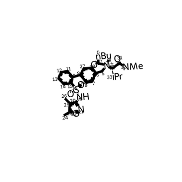 CCCCC(=O)[N+](C)(Cc1ccc(-c2ccccc2S(=O)(=O)Nc2noc(C)c2C)cc1)[C@H](C(=O)NC)C(C)C